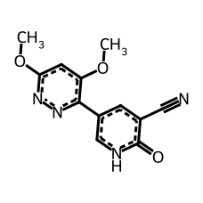 COc1cc(OC)c(-c2c[nH]c(=O)c(C#N)c2)nn1